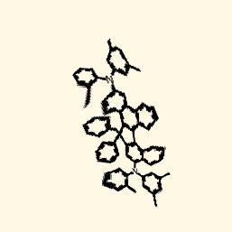 Cc1cc(C)cc(N(c2ccc3c4c(c5ccccc5c3c2)-c2c(cc(N(c3cc(C)cc(C)c3)c3ccccc3C)c3ccccc23)C4(c2ccccc2)c2ccccc2)c2ccccc2C)c1